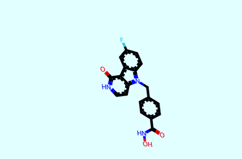 O=C(NO)c1ccc(Cn2c3ccc(F)cc3c3c(=O)[nH]ccc32)cc1